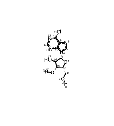 [2H]OC[C@H]1O[C@@H](n2cnc3c(Cl)ncnc32)C(O)[C@H]1O[3H]